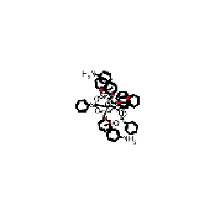 C[Si]1(c2cccc(N)c2)O[Si]2(c3ccccc3)O[Si]3(c4ccccc4)O[Si]4(c5ccccc5)O[Si](C)(c5cccc(N)c5)O[Si]5(c6ccccc6)O[Si](c6ccccc6)(O[Si](c6ccccc6)(O1)O[Si](c1ccccc1)(O5)O[Si](c1ccccc1)(O2)O4)O3